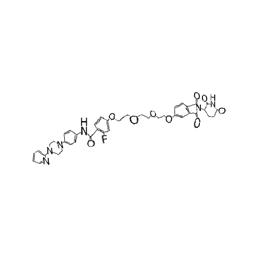 O=C1CCC(N2C(=O)c3ccc(OCCOCCOCCOc4ccc(C(=O)Nc5ccc(N6CCN(c7ccccn7)CC6)cc5)c(F)c4)cc3C2=O)C(=O)N1